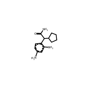 NC(=O)C(c1ccc(N)cc1N)C1CCCC1